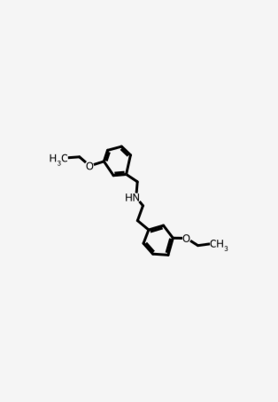 CCOc1cccc(CCNCc2cccc(OCC)c2)c1